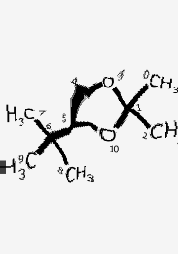 CC1(C)OCC(C(C)(C)C)O1